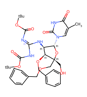 Cc1cn([C@@H]2O[C@](CO)(COCc3ccccc3)[C@@H](OCc3ccccc3)[C@H]2N/C(=N\C(=O)OC(C)(C)C)NC(=O)OC(C)(C)C)c(=O)[nH]c1=O